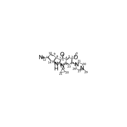 COc1cc2c(=O)c3c4ccc(C#N)cc4[nH]c3n(C3CC3)c2cc1N1CCN(C)CC1